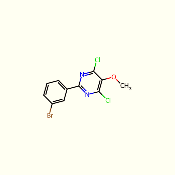 COc1c(Cl)nc(-c2cccc(Br)c2)nc1Cl